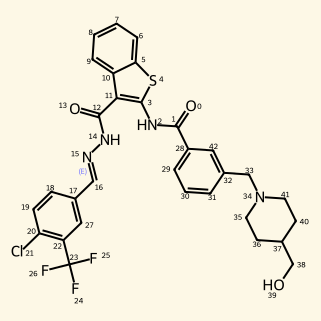 O=C(Nc1sc2ccccc2c1C(=O)N/N=C/c1ccc(Cl)c(C(F)(F)F)c1)c1cccc(CN2CCC(CO)CC2)c1